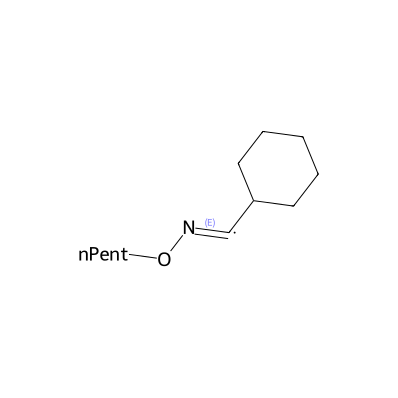 CCCCCO/N=[C]/C1CCCCC1